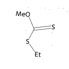 [CH2]CSC(=S)OC